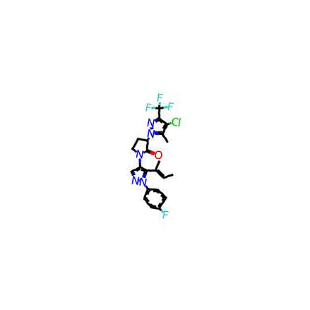 CC=C(C)c1c(N2CCC(n3nc(C(F)(F)F)c(Cl)c3C)C2=O)cnn1-c1ccc(F)cc1